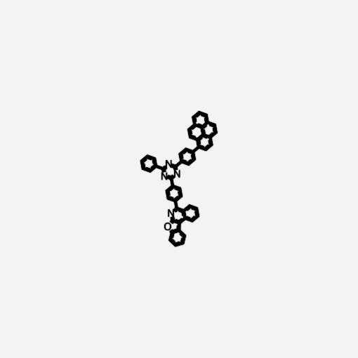 c1ccc(-c2nc(-c3ccc(-c4nc5oc6ccccc6c5c5ccccc45)cc3)nc(-c3ccc(-c4ccc5ccc6cccc7ccc4c5c67)cc3)n2)cc1